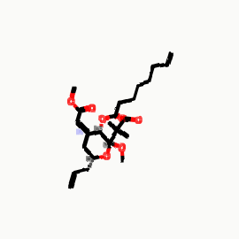 C=CC[C@@H]1C/C(=C/C(=O)OC)[C@H](OC(=O)CCCCCCC)[C@](OC)(C(C)(C)C=O)O1